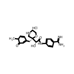 CC1C=CC(C[C@]2([C@@H](O)C(=O)Nc3ccc(C(=N)N)cc3)CNCCO2)=CC1=O.Cl